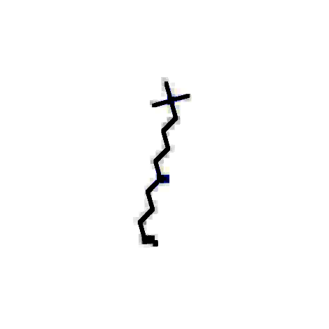 C[N+](C)(C)CCCCNCCC[SiH3]